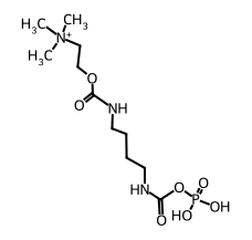 C[N+](C)(C)CCOC(=O)NCCCCNC(=O)OP(=O)(O)O